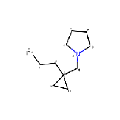 CC(C)CCC1(CN2CCCC2)CC1